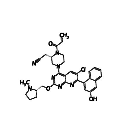 C=CC(=O)N1CCN(c2nc(OC[C@@H]3CCCN3C)nc3nc(-c4cc(O)cc5ccccc45)c(Cl)cc23)C[C@@H]1CC#N